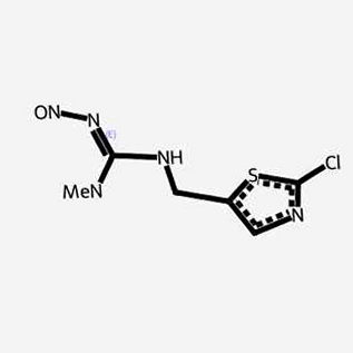 CN/C(=N\N=O)NCc1cnc(Cl)s1